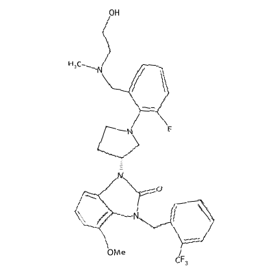 COc1cccc2c1n(Cc1ccccc1C(F)(F)F)c(=O)n2[C@@H]1CCN(c2c(F)cccc2CN(C)CCO)C1